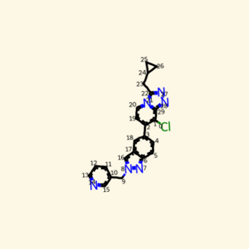 Clc1c(-c2ccc3nn(Cc4cccnc4)cc3c2)ccn2c(CC3CC3)nnc12